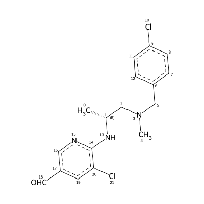 C[C@H](CN(C)Cc1ccc(Cl)cc1)Nc1ncc(C=O)cc1Cl